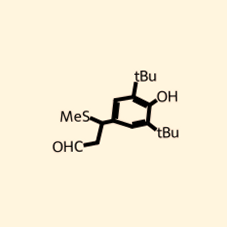 CSC(CC=O)c1cc(C(C)(C)C)c(O)c(C(C)(C)C)c1